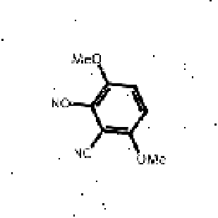 COc1ccc(OC)c(C#N)c1C#N